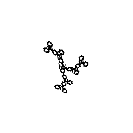 c1ccc(N(c2ccccc2)c2ccc3c(c2)c2ccccc2n3-c2ccc(-c3ccc4nc(-c5ccc(-n6c7ccccc7c7cc(N(c8ccccc8)c8ccccc8)ccc76)cc5)nc(-c5ccc(-n6c7ccccc7c7cc(N(c8ccccc8)c8ccccc8)ccc76)cc5)c4c3)cc2)cc1